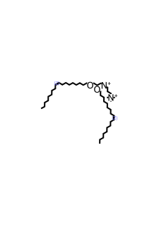 CCCCCCCC/C=C\CCCCCCCCOCC(C[N+](C)(C)CCC[N+](C)(C)C)OCCCCCCCC/C=C\CCCCCCCC